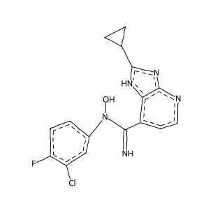 N=C(c1ccnc2nc(C3CC3)[nH]c12)N(O)c1ccc(F)c(Cl)c1